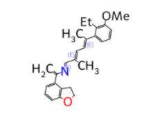 C=C(/N=C/C(C)=C/C=C(\C)c1cccc(OC)c1CC)c1cccc2c1CCO2